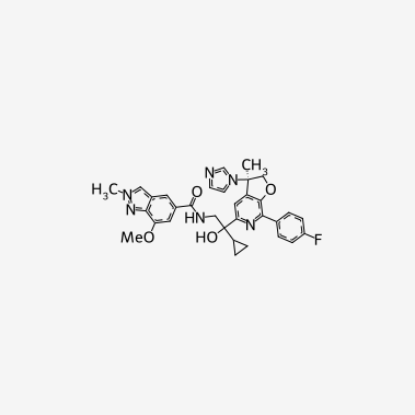 COc1cc(C(=O)NCC(O)(c2cc3c(c(-c4ccc(F)cc4)n2)OC[C@]3(C)n2ccnc2)C2CC2)cc2cn(C)nc12